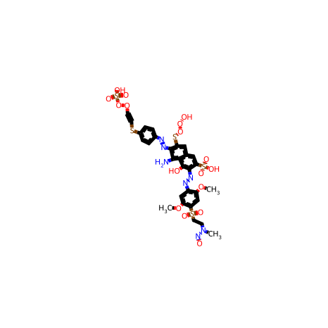 COc1cc(S(=O)(=O)CCN(C)N=O)c(OC)cc1N=Nc1c(S(=O)(=O)O)cc2cc(SOOO)c(N=Nc3ccc(SC#COOS(=O)(=O)O)cc3)c(N)c2c1O